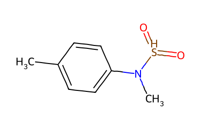 Cc1ccc(N(C)[SH](=O)=O)cc1